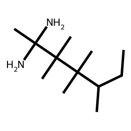 CCC(C)C(C)(C)C(C)(C)C(C)(N)N